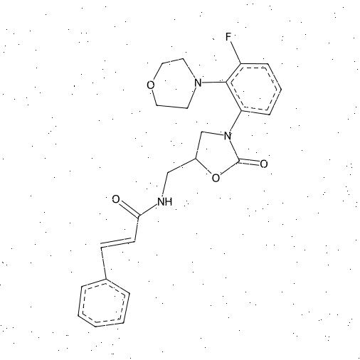 O=C(C=Cc1ccccc1)NCC1CN(c2cccc(F)c2N2CCOCC2)C(=O)O1